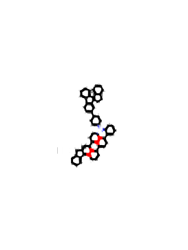 CC1(C)c2ccccc2-c2ccc(-c3ccc(N(c4ccc(-c5ccc6c(c5)C5(CCc7ccccc75)c5ccccc5-6)cc4)c4ccccc4-c4ccc(-c5ccccc5)cc4)cc3)cc21